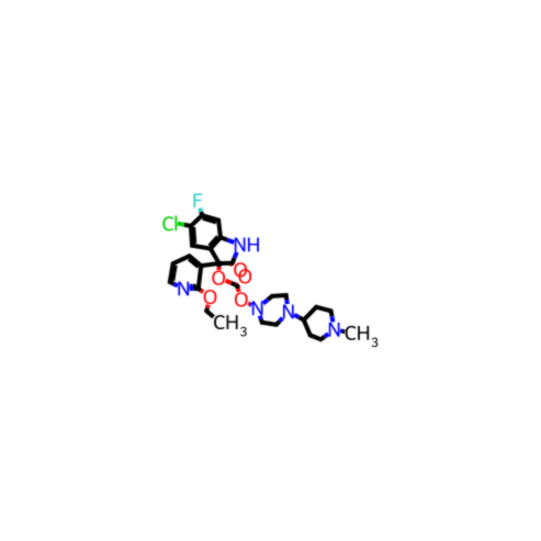 CCOc1ncccc1C1(OC(=O)ON2CCN(C3CCN(C)CC3)CC2)C(=O)Nc2cc(F)c(Cl)cc21